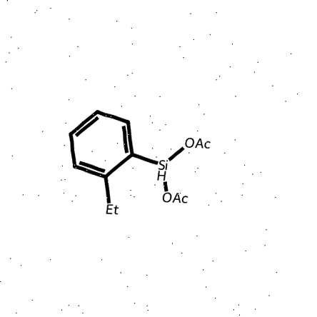 CCc1ccccc1[SiH](OC(C)=O)OC(C)=O